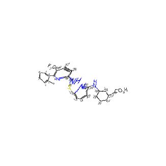 Cc1ccccc1-c1nc(NSc2cccc(NC3CCCC(C(=O)O)C3)n2)ccc1C(F)(F)F